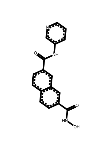 O=C(NO)c1ccc2ccc(C(=O)Nc3cccnc3)cc2c1